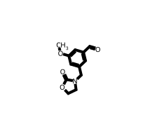 COc1cc(C=O)cc(CN2CCOC2=O)c1